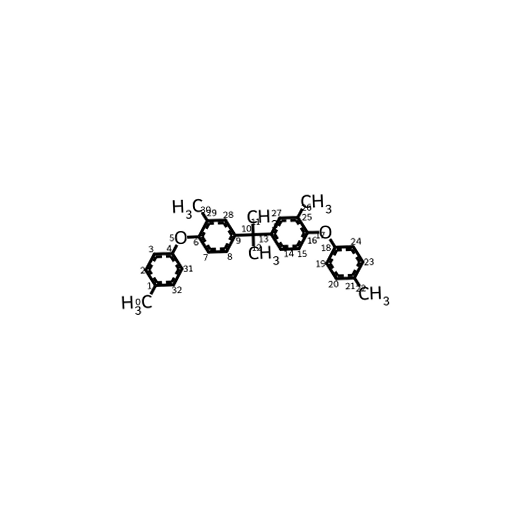 Cc1ccc(Oc2ccc(C(C)(C)c3ccc(Oc4ccc(C)cc4)c(C)c3)cc2C)cc1